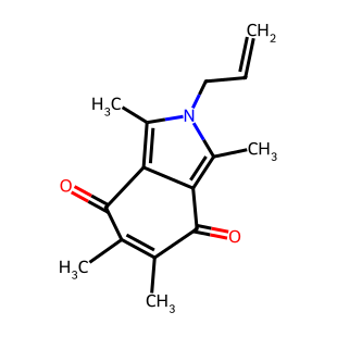 C=CCn1c(C)c2c(c1C)C(=O)C(C)=C(C)C2=O